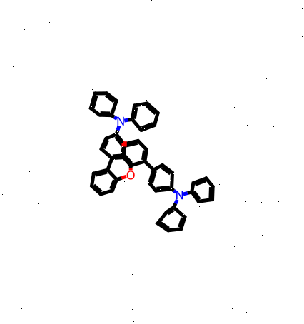 c1ccc(N(c2ccccc2)c2ccc(-c3ccccc3Oc3ccccc3-c3ccc(N(c4ccccc4)c4ccccc4)cc3)cc2)cc1